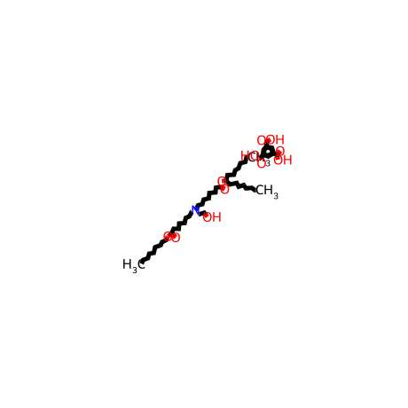 CCCCCCCCCOC(=O)CCCCCCCN(CCO)CCCCCCCC(=O)OC(CCCCCCCC)CCCCCCCC.O=C(O)c1cc(C(=O)O)cc(C(=O)O)c1